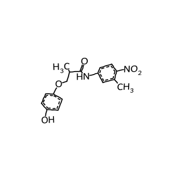 Cc1cc(NC(=O)C(C)COc2ccc(O)cc2)ccc1[N+](=O)[O-]